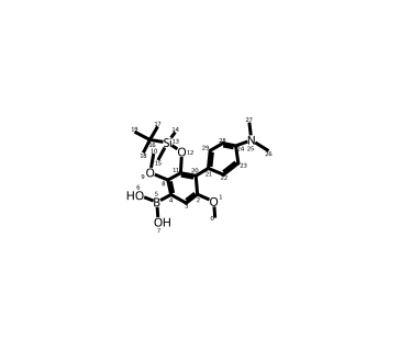 COc1cc(B(O)O)c(OC)c(O[Si](C)(C)C(C)(C)C)c1-c1ccc(N(C)C)cc1